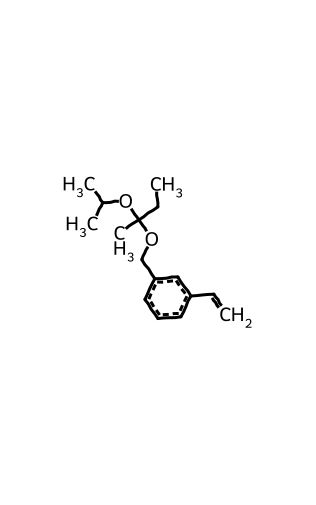 C=Cc1cccc(COC(C)(CC)OC(C)C)c1